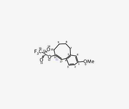 COc1ccc2c(c1)CCCC/C(OS(=O)(=O)C(F)(F)F)=C\2